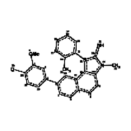 COc1cc(-c2ccc3ncc4c(c3c2)n(-c2cncnc2C)c(=N)n4C)ccc1Cl